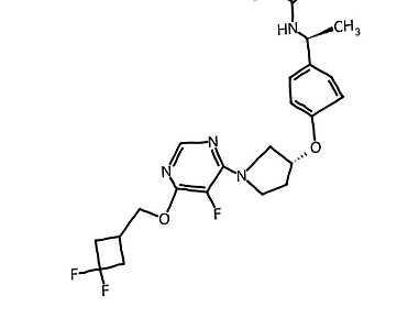 CC(=O)N[C@@H](C)c1ccc(O[C@@H]2CCN(c3ncnc(OCC4CC(F)(F)C4)c3F)C2)cc1